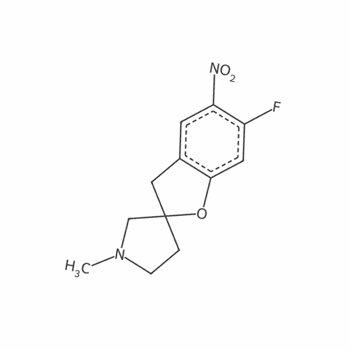 CN1CCC2(Cc3cc([N+](=O)[O-])c(F)cc3O2)C1